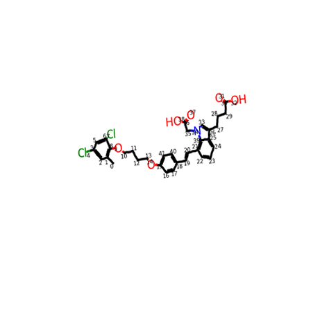 Cc1cc(Cl)cc(Cl)c1OCCCCOc1ccc(/C=C/c2cccc3c(CCCC(=O)O)cn(CC(=O)O)c23)cc1